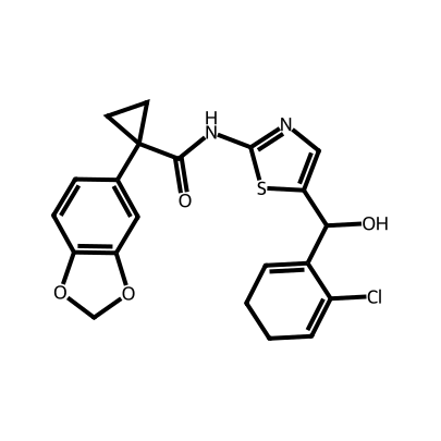 O=C(Nc1ncc(C(O)C2=CCCC=C2Cl)s1)C1(c2ccc3c(c2)OCO3)CC1